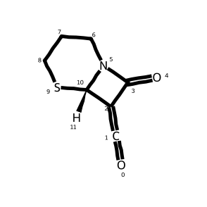 O=C=C1C(=O)N2CCCS[C@@H]12